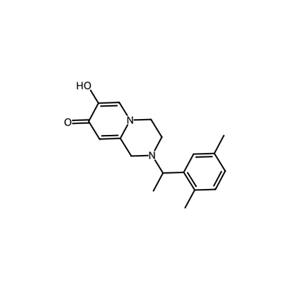 Cc1ccc(C)c(C(C)N2CCn3cc(O)c(=O)cc3C2)c1